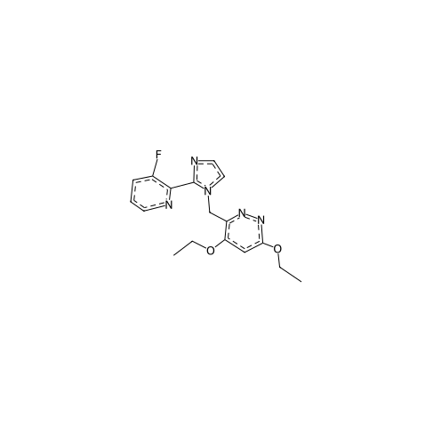 CCOc1cc(OCC)c(Cn2ccnc2-c2ncccc2F)nn1